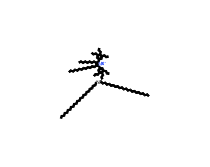 CCCCCCCCCCCCCC1=C(c2cc(CCC)c(CCC)c(CCC)c2)[N+](=[N-])C(c2cc(CCC)c(CCC)c(CCC)c2)=C1CCCCCCCC.CCCCCCCCCCCCCCCCCCCCCCC[CH2][Ni][CH2]CCCCCCCCCCCCCCCCCCCCCCC